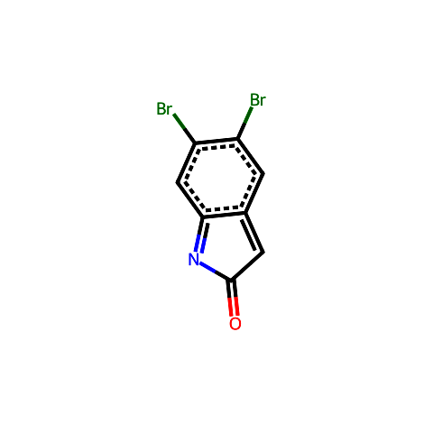 O=C1C=c2cc(Br)c(Br)cc2=N1